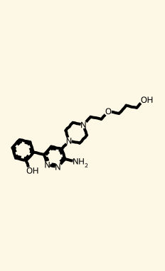 Nc1nnc(-c2ccccc2O)cc1N1CCN(CCOCCCO)CC1